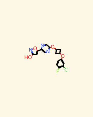 Oc1cc(-c2cnc(OC3CC(Oc4ccc(F)c(Cl)c4)C3)cn2)on1